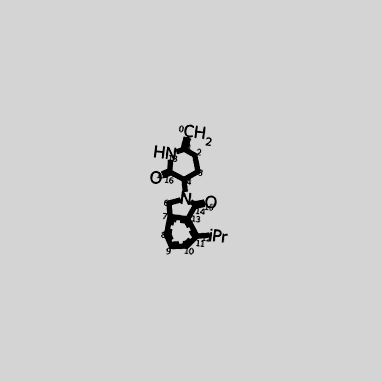 C=C1CCC(N2Cc3cccc(C(C)C)c3C2=O)C(=O)N1